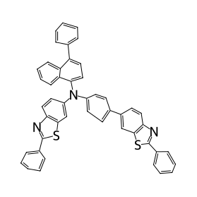 c1ccc(-c2nc3ccc(-c4ccc(N(c5ccc6nc(-c7ccccc7)sc6c5)c5ccc(-c6ccccc6)c6ccccc56)cc4)cc3s2)cc1